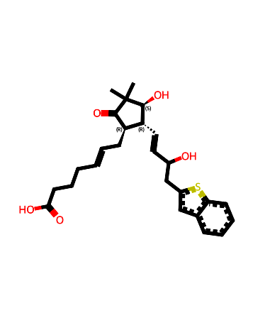 CC1(C)C(=O)[C@H](CC=CCCCC(=O)O)[C@@H](C=CC(O)Cc2cc3ccccc3s2)[C@@H]1O